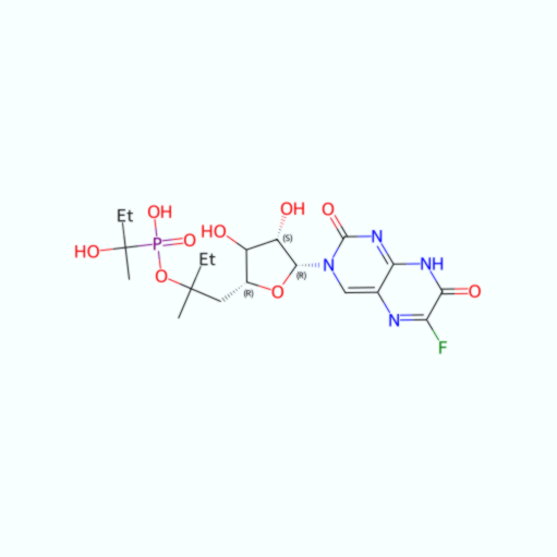 CCC(C)(C[C@H]1O[C@@H](n2cc3nc(F)c(=O)[nH]c3nc2=O)[C@@H](O)C1O)OP(=O)(O)C(C)(O)CC